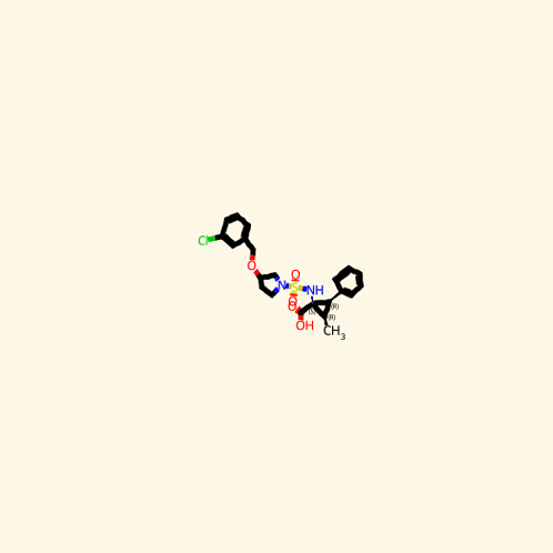 C[C@@H]1[C@H](c2ccccc2)[C@]1(NS(=O)(=O)N1CCC(OCc2cccc(Cl)c2)C1)C(=O)O